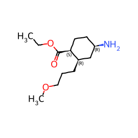 CCOC(=O)[C@H]1CC[C@@H](N)C[C@H]1CCCOC